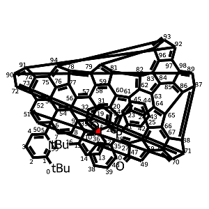 CC(C)(C)c1cccc(C23C=CC4(c5ncccc5C(C)(C)C)C(=O)c5c6c(=O)c7c8c9c%10c(=P(c%11ccccc%11)(c%11ccccc%11)c%11ccccc%11)c(=O)c%11c2c2c%12c%13c3c4c3c5c4c5c6c7c6c7c8c8c9c9c(c%11%10)c2c2c%10c%12c%11c%12c%13c3c3c4c4c5c6c5c7c6c8c(c29)c2c%10c%11c7c(c3%12)c4c5c7c62)n1